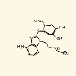 CC(=O)Nc1cc(O)c(O)cc1Sc1nc2c(N)nccc2n1CCNCC(C)(C)C